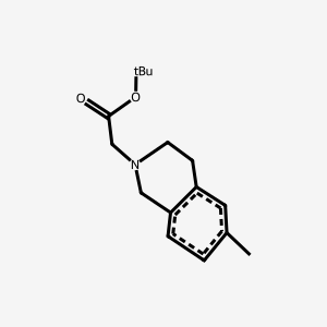 Cc1ccc2c(c1)CCN(CC(=O)OC(C)(C)C)C2